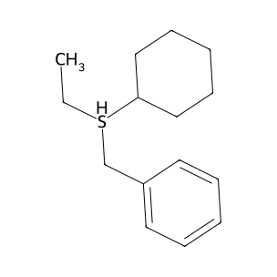 CC[SH](Cc1ccccc1)C1CCCCC1